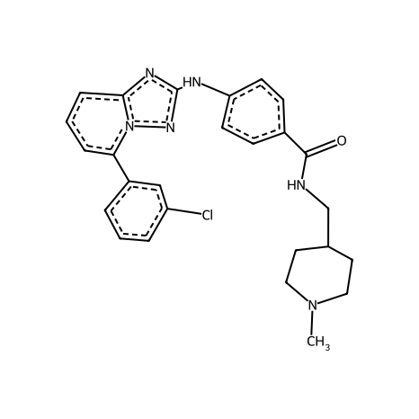 CN1CCC(CNC(=O)c2ccc(Nc3nc4cccc(-c5cccc(Cl)c5)n4n3)cc2)CC1